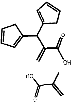 C=C(C(=O)O)C(C1=CC=CC1)C1=CC=CC1.C=C(C)C(=O)O